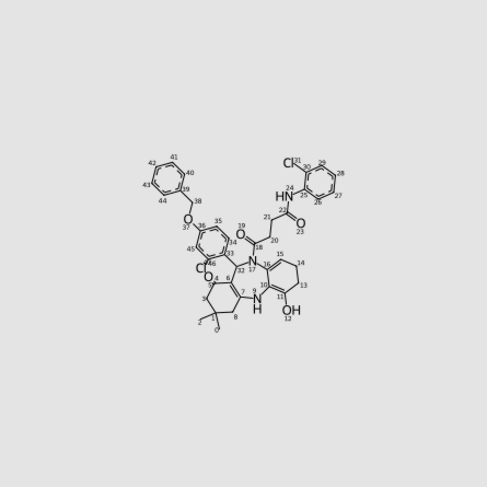 CC1(C)CC(=O)C2=C(C1)NC1=C(O)CCC=C1N(C(=O)CCC(=O)Nc1ccccc1Cl)C2c1ccc(OCc2ccccc2)cc1Cl